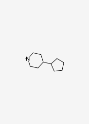 C1CCC(C2CC[N]CC2)C1